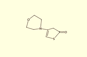 O=C1CC(N2CCOCC2)=CS1